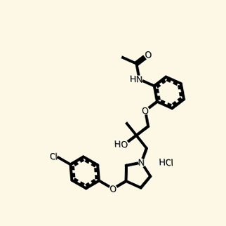 CC(=O)Nc1ccccc1OCC(C)(O)CN1CCC(Oc2ccc(Cl)cc2)C1.Cl